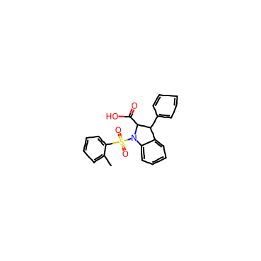 Cc1ccccc1S(=O)(=O)N1c2ccccc2C(c2ccccc2)C1C(=O)O